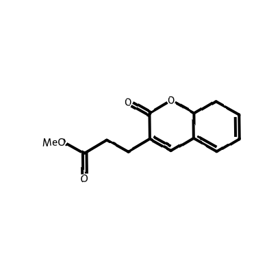 COC(=O)CCC1=CC2=CC=CCC2OC1=O